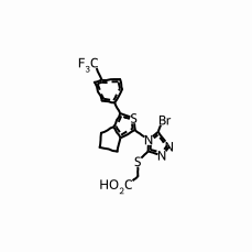 O=C(O)CSc1nnc(Br)n1-c1sc(-c2ccc(C(F)(F)F)cc2)c2c1CCC2